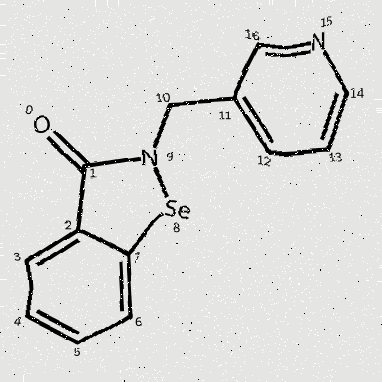 O=c1c2ccccc2[se]n1Cc1cccnc1